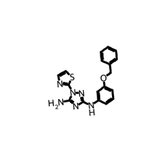 Nc1nc(Nc2cccc(OCc3ccccc3)c2)nn1-c1nccs1